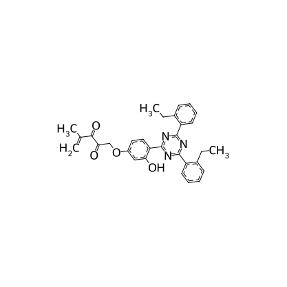 C=C(C)C(=O)C(=O)COc1ccc(-c2nc(-c3ccccc3CC)nc(-c3ccccc3CC)n2)c(O)c1